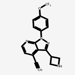 C#Cc1ccnc2c1c(C1CNC1)nn2-c1ccc(OC(F)(F)F)cc1